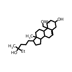 CCC(C)(O)CCCC1CCC2C3CC=C4CC(O)CCC4(COC)C3CCC12C